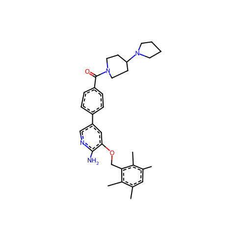 Cc1cc(C)c(C)c(COc2cc(-c3ccc(C(=O)N4CCC(N5CCCC5)CC4)cc3)cnc2N)c1C